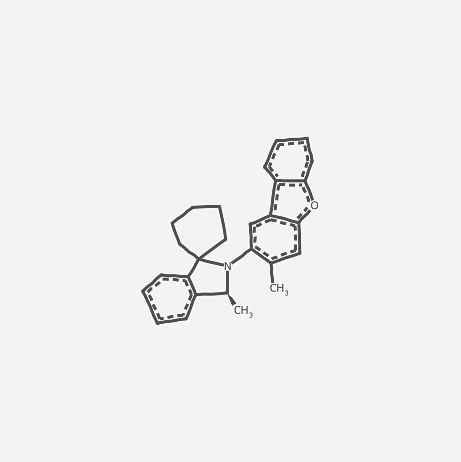 Cc1cc2oc3ccccc3c2cc1N1[C@@H](C)c2ccccc2C12CCCCC2